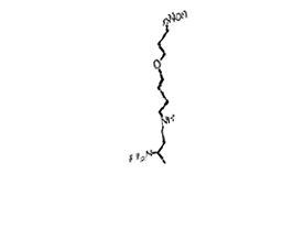 CCCCCCCCCCCCOCCCCNCCC(C)N